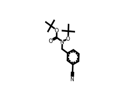 CC(C)(C)OC(=O)N(Cc1cccc(C#N)c1)OC(C)(C)C